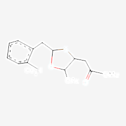 COC(=O)CC1SC(Cc2ccccc2C(=O)O)OC1OC(C)=O